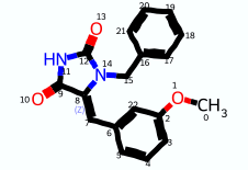 COc1cccc(/C=C2/C(=O)NC(=O)N2Cc2ccccc2)c1